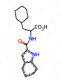 O=C(NC(CC1CCCCC1)C(=O)O)c1cc2ccccc2[nH]1